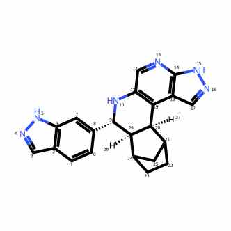 c1cc2cn[nH]c2cc1[C@@H]1Nc2cnc3[nH]ncc3c2[C@H]2C3CCC(C3)[C@@H]12